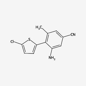 Cc1cc(C#N)cc(N)c1-c1ccc(Cl)s1